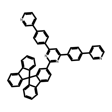 c1cncc(-c2ccc(-c3cc(-c4ccc(-c5cccnc5)cc4)nc(-c4ccc5c(c4)C4(c6ccccc6-c6ccccc64)c4ccccc4-5)n3)cc2)c1